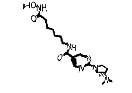 CN(C)[C@@H]1CCN(c2ncc(C(=O)NCCCCCCC(=O)NO)cn2)C1